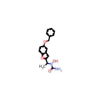 CC(c1cc2cc(OCc3ccccc3)ccc2o1)N(O)C(N)=O